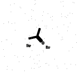 CC(C)=O.[Eu].[Eu]